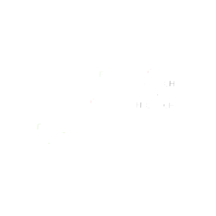 CC(C)(C)C(=O)c1ccc(OCc2cccc(C(F)(F)F)c2)c(F)c1